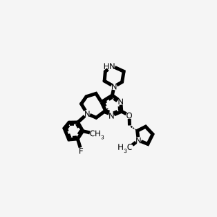 Cc1c(F)cccc1N1CCCc2c(nc(OC[C@@H]3CCCN3C)nc2N2CCNCC2)C1